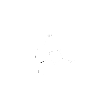 CC(C)C1O[C@@H](CN)[C@H](CN)O1.[I][Pt][I]